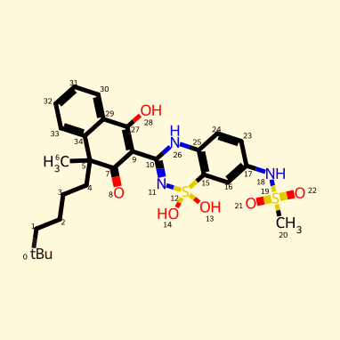 CC(C)(C)CCCCC1(C)C(=O)C(C2=NS(O)(O)c3cc(NS(C)(=O)=O)ccc3N2)=C(O)c2ccccc21